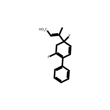 CC(=CC(=O)O)C1(F)C=CC(c2ccccc2)=C(F)C1